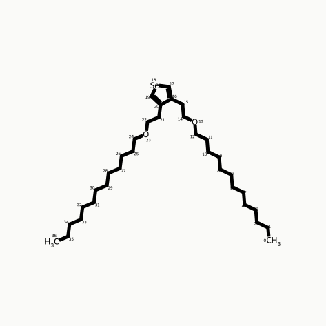 CCCCCCCCCCCCCOCCc1c[se]cc1CCOCCCCCCCCCCCCC